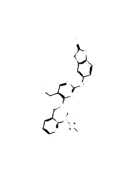 CN(c1ncccc1CNc1nc(Nc2ccc3c(c2)CC(=O)N3)ncc1CF)S(C)(=O)=O